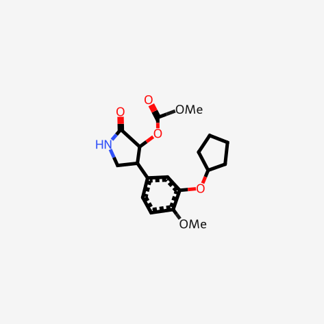 COC(=O)OC1C(=O)NCC1c1ccc(OC)c(OC2CCCC2)c1